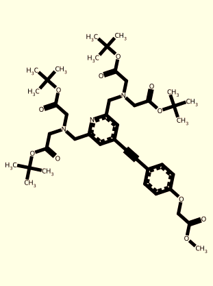 COC(=O)COc1ccc(C#Cc2cc(CN(CC(=O)OC(C)(C)C)CC(=O)OC(C)(C)C)nc(CN(CC(=O)OC(C)(C)C)CC(=O)OC(C)(C)C)c2)cc1